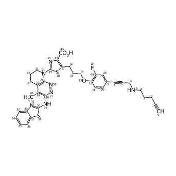 C#CCCCNCC#Cc1ccc(OCCCc2sc(N3CCCc4c3nnc(Nc3nc5ccccc5s3)c4C)nc2C(=O)O)c(F)c1